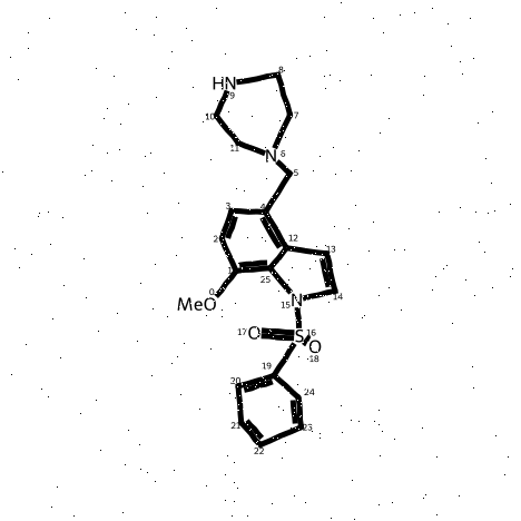 COc1ccc(CN2CCNCC2)c2ccn(S(=O)(=O)c3ccccc3)c12